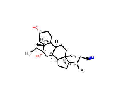 CC[C@]1(O)C[C@H]2[C@@H]3CC[C@H]([C@H](C)CC#N)[C@@]3(C)CC[C@@H]2[C@@]2(C)CC[C@@H](O)C[C@@H]12